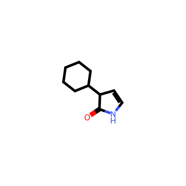 O=C1NC=CC1C1CCCCC1